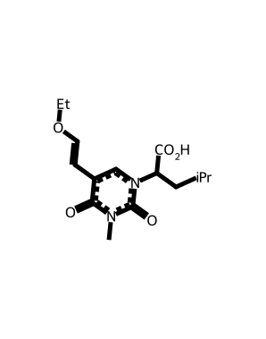 CCOC=Cc1cn(C(CC(C)C)C(=O)O)c(=O)n(C)c1=O